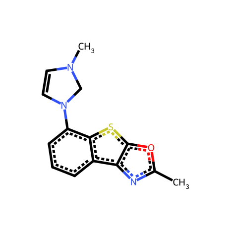 Cc1nc2c(o1)sc1c(N3C=CN(C)C3)cccc12